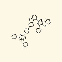 c1ccc(-c2nc(-c3ccccc3)nc(-c3ccc(-c4ccc5c(c4)sc4cccc(-c6nc(-c7ccccc7)c7oc8ccccc8c7n6)c45)cc3)n2)cc1